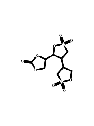 O=C1OCC(C2OS(=O)(=O)CC2C2COS(=O)(=O)C2)O1